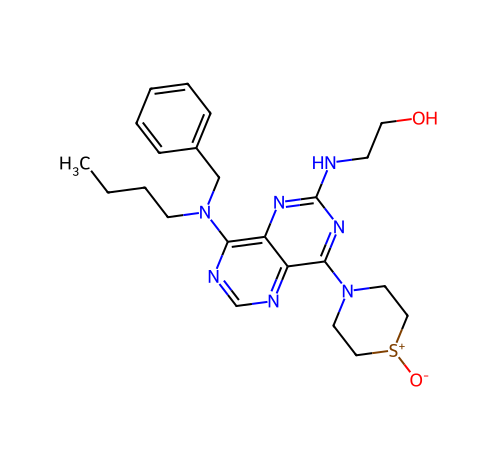 CCCCN(Cc1ccccc1)c1ncnc2c(N3CC[S+]([O-])CC3)nc(NCCO)nc12